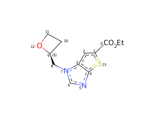 CCOC(=O)c1cc2c(ncn2C[C@@H]2CCO2)s1